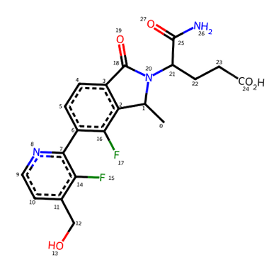 CC1c2c(ccc(-c3nccc(CO)c3F)c2F)C(=O)N1C(CCC(=O)O)C(N)=O